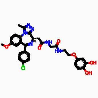 COc1ccc2c(c1)C(c1ccc(Cl)cc1)=N[C@@H](CC(=O)NCC(=O)NCCOc1ccc(O)c(O)c1)c1nnc(C)n1-2